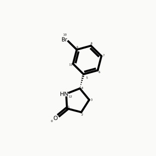 O=C1CC[C@@H](c2cccc(Br)c2)N1